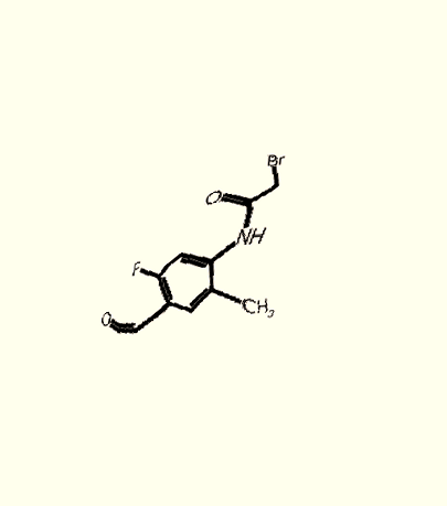 Cc1cc(C=O)c(F)cc1NC(=O)CBr